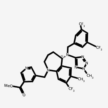 COC(=O)c1cncc(CN2CCC[C@H](N(Cc3cc(C(F)(F)F)cc(C(F)(F)F)c3)c3nnn(C)n3)c3cc(C)c(C(F)(F)F)cc32)c1